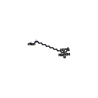 CCCCCCCCC/C=C\CCCCCCCCCCCCCC(O)(C[N+](C)(C)C)P(=O)(O)O